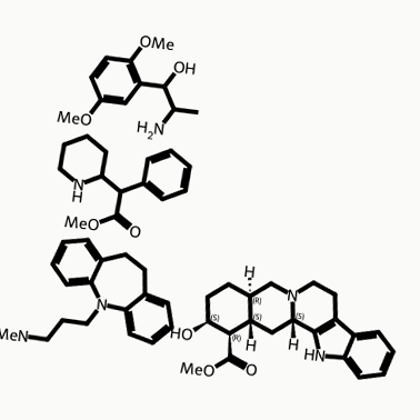 CNCCCN1c2ccccc2CCc2ccccc21.COC(=O)C(c1ccccc1)C1CCCCN1.COC(=O)[C@@H]1[C@H]2C[C@H]3c4[nH]c5ccccc5c4CCN3C[C@@H]2CC[C@@H]1O.COc1ccc(OC)c(C(O)C(C)N)c1